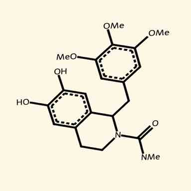 CNC(=O)N1CCc2cc(O)c(O)cc2C1Cc1cc(OC)c(OC)c(OC)c1